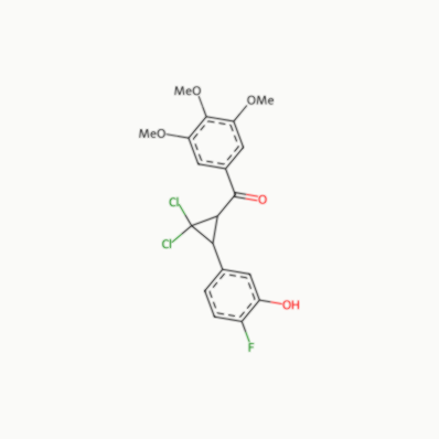 COc1cc(C(=O)C2C(c3ccc(F)c(O)c3)C2(Cl)Cl)cc(OC)c1OC